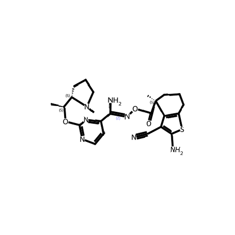 C[C@H](Oc1nccc(/C(N)=N/OC(=O)[C@@]2(C)CCCc3sc(N)c(C#N)c32)n1)[C@@H]1CCCN1C